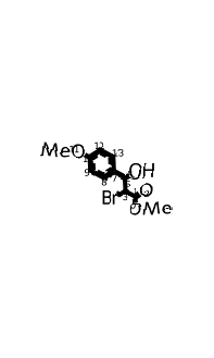 COC(=O)C(Br)C(O)c1ccc(OC)cc1